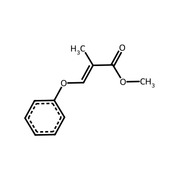 COC(=O)/C(C)=C/Oc1ccccc1